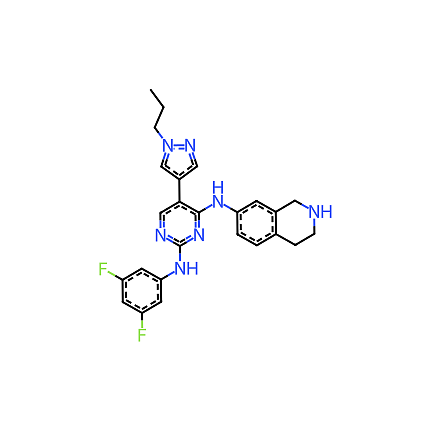 CCCn1cc(-c2cnc(Nc3cc(F)cc(F)c3)nc2Nc2ccc3c(c2)CNCC3)cn1